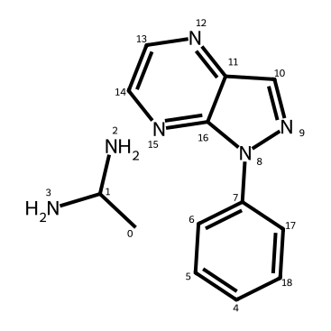 CC(N)N.c1ccc(-n2ncc3nccnc32)cc1